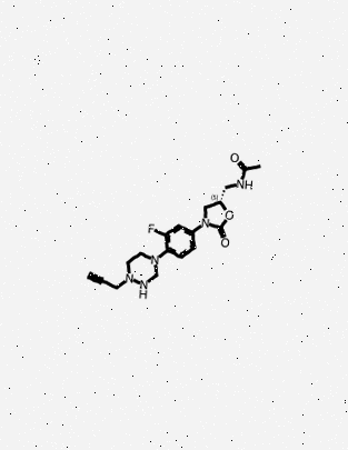 C#CCN1CCN(c2ccc(N3C[C@H](CNC(C)=O)OC3=O)cc2F)CN1